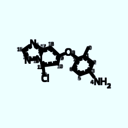 Cc1cc(N)ccc1Oc1cc(Cl)n2ncnc2c1